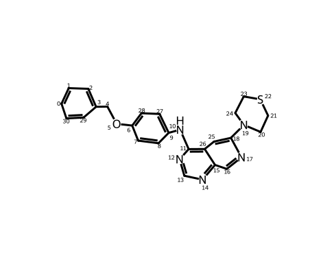 c1ccc(COc2ccc(Nc3ncnc4cnc(N5CCSCC5)cc34)cc2)cc1